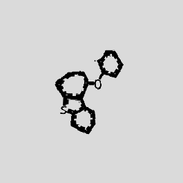 [c]1ccccc1Oc1cccc2sc3ccccc3c12